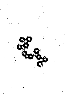 c1ccc(-c2ccccc2-c2ccc3c(c2)c2ncccc2n3-c2ccc3c(c2)-c2cc(-n4c5ccc(-c6ccccc6-c6ccccn6)cc5c5ncccc54)ccc2C3)nc1